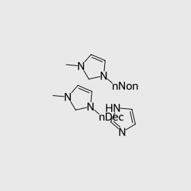 CCCCCCCCCCN1C=CN(C)C1.CCCCCCCCCN1C=CN(C)C1.c1c[nH]cn1